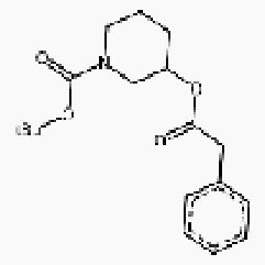 CC(C)(C)OC(=O)N1CCCC(OC(=O)Cc2ccccc2)C1